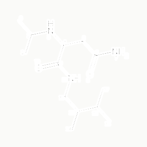 CC(C)NC(CC(N)=O)C(=O)NCC(C)C(C)C